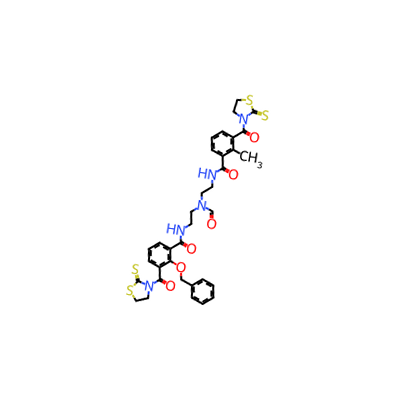 Cc1c(C(=O)NCCN(C=O)CCNC(=O)c2cccc(C(=O)N3CCSC3=S)c2OCc2ccccc2)cccc1C(=O)N1CCSC1=S